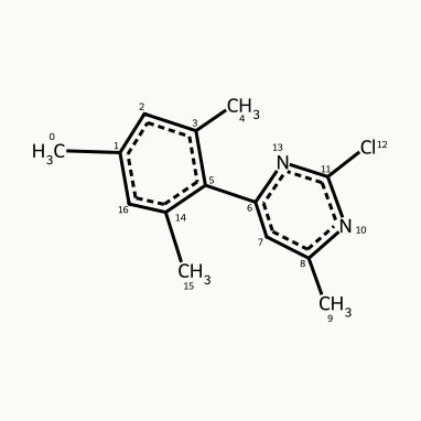 Cc1cc(C)c(-c2cc(C)nc(Cl)n2)c(C)c1